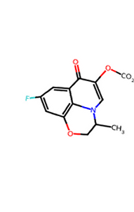 CC1COc2cc(F)cc3c(=O)c(OC(=O)O)cn1c23